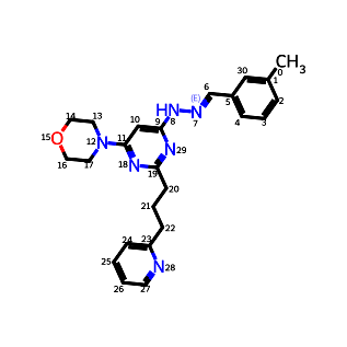 Cc1cccc(/C=N/Nc2cc(N3CCOCC3)nc(CCCc3ccccn3)n2)c1